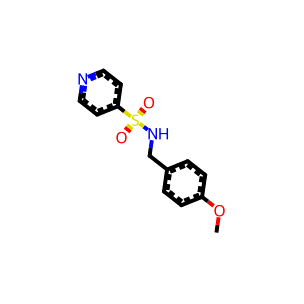 COc1ccc(CNS(=O)(=O)c2ccncc2)cc1